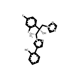 C[C@@H](n1cc(-c2ccccc2C#N)cn1)[C@](O)(Cn1cncn1)c1ccc(F)cc1F